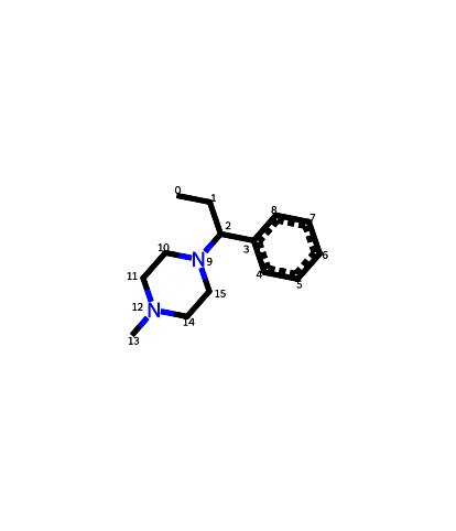 CCC(c1ccccc1)N1CCN(C)CC1